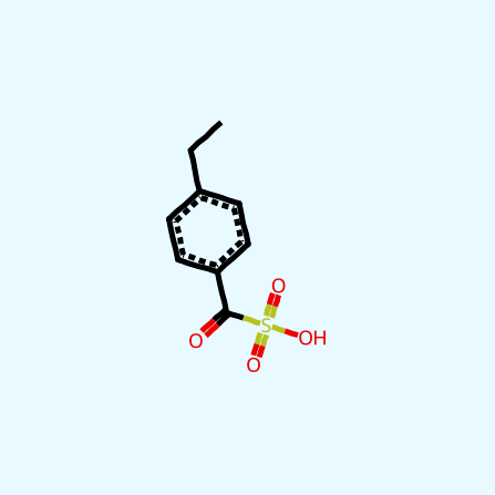 CCc1ccc(C(=O)S(=O)(=O)O)cc1